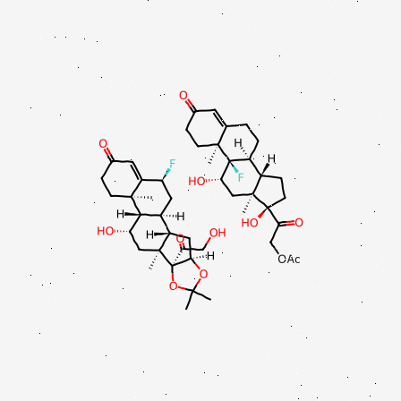 CC(=O)OCC(=O)[C@@]1(O)CC[C@H]2[C@@H]3CCC4=CC(=O)CC[C@]4(C)[C@@]3(F)[C@@H](O)C[C@@]21C.CC1(C)O[C@@H]2C[C@H]3[C@@H]4C[C@H](F)C5=CC(=O)CC[C@]5(C)[C@H]4[C@@H](O)C[C@]3(C)[C@]2(C(=O)CO)O1